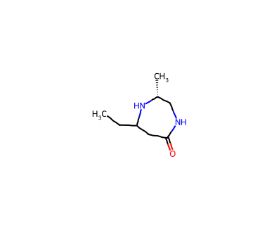 CCC1CC(=O)NC[C@@H](C)N1